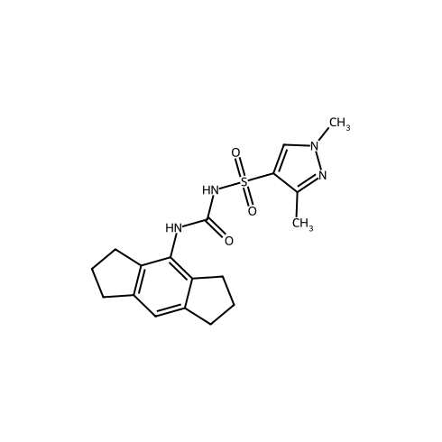 Cc1nn(C)cc1S(=O)(=O)NC(=O)Nc1c2c(cc3c1CCC3)CCC2